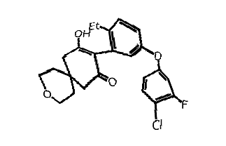 CCc1ccc(Oc2ccc(Cl)c(F)c2)cc1C1=C(O)CC2(CCOCC2)CC1=O